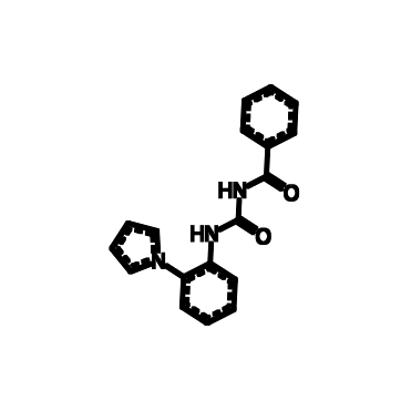 O=C(NC(=O)c1ccccc1)Nc1ccccc1-n1cccc1